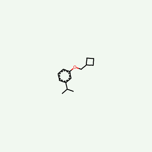 CC(C)c1cccc(OCC2CCC2)c1